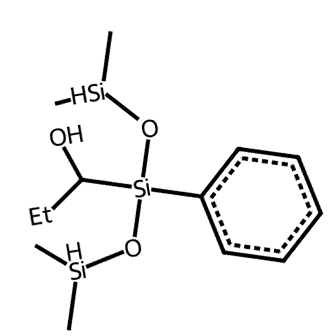 CCC(O)[Si](O[SiH](C)C)(O[SiH](C)C)c1ccccc1